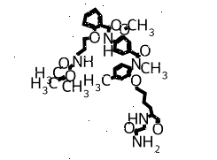 COc1cc(C(=O)N(C)c2ccc(C)cc2OCCCCC(C=O)NCC(N)=O)ccc1NC(=O)c1ccccc1OCCCNC(=O)OC(C)(C)C